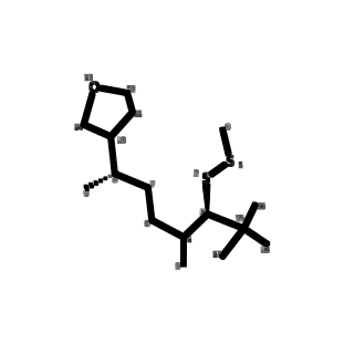 CSS[C@H](C(C)CC[C@H](C)C1CCOC1)C(C)(C)C